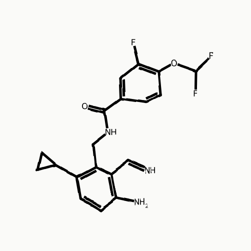 N=Cc1c(N)ccc(C2CC2)c1CNC(=O)c1ccc(OC(F)F)c(F)c1